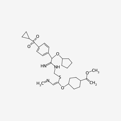 C=N/C=C(/OC1CCC(C(=C)OC)CC1)SCNC(=N)C(OC1CCCC1)c1ccc(S(=O)(=O)C2CC2)cc1